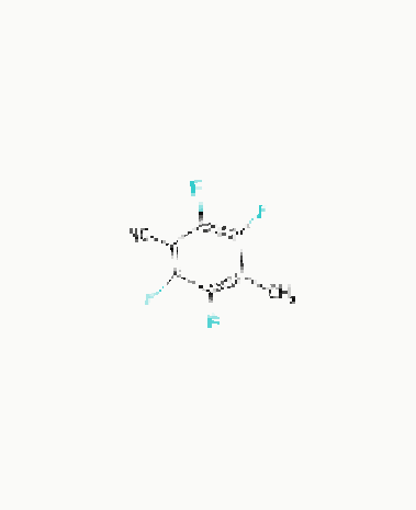 Cc1c(F)c(F)c(C#N)c(F)c1F